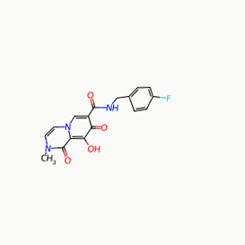 Cn1ccn2cc(C(=O)NCc3ccc(F)cc3)c(=O)c(O)c2c1=O